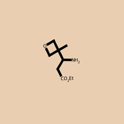 CCOC(=O)CC(N)C1(C)COC1